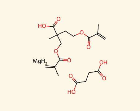 C=C(C)C(=O)OCCC(C)(COC(=O)C(=C)C)C(=O)O.O=C(O)CCC(=O)O.[MgH2]